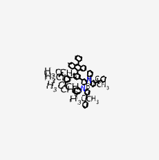 CC(C)(C)c1cc(-c2cc(-c3cc4c5c(c3)N(c3ccccc3)c3cc(C(C)(C)c6ccccc6)ccc3B5c3ccc(C(C)(C)c5ccccc5)cc3N4c3ccccc3)cc(-c3c4ccccc4c(-c4ccccc4)c4ccccc34)c2)cc(C(C)(C)C)c1